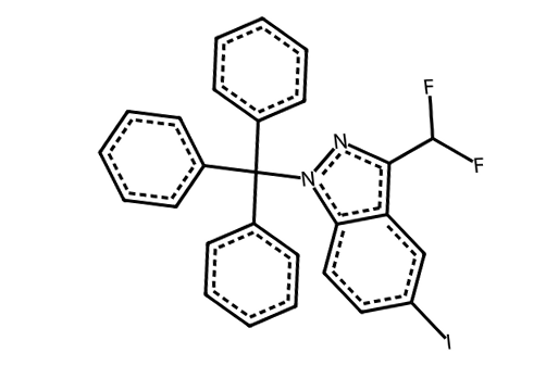 FC(F)c1nn(C(c2ccccc2)(c2ccccc2)c2ccccc2)c2ccc(I)cc12